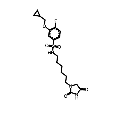 O=C1CN(CCCCCCNS(=O)(=O)c2ccc(F)c(OCC3CC3)c2)C(=O)N1